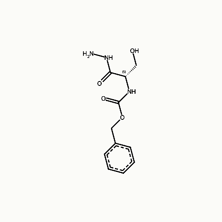 NNC(=O)[C@H](CO)NC(=O)OCc1ccccc1